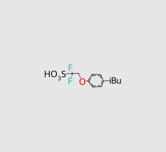 CCC(C)c1ccc(OCC(F)(F)S(=O)(=O)O)cc1